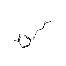 COCCNC(=O)/C=C\C(C)=O